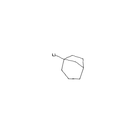 [Li][C]12CCCC(CC1)C2